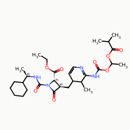 CCOC(=O)[C@@H]1[C@@H](CC2C=CN=C(NC(=O)OC(C)OC(=O)C(C)C)C2C)C(=O)N1C(=O)N[C@H](C)C1CCCCC1